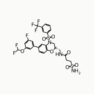 NS(=O)(=O)CCC(=O)NC[C@H]1CN(S(=O)(=O)c2cccc(C(F)(F)F)c2)c2cc(-c3cc(F)cc(OC(F)F)c3)ccc2O1